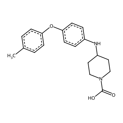 Cc1ccc(Oc2ccc(NC3CCN(C(=O)O)CC3)cc2)cc1